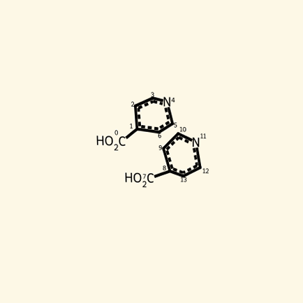 O=C(O)c1ccncc1.O=C(O)c1ccncc1